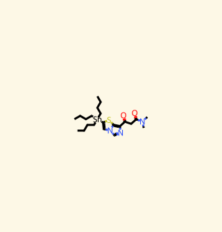 CCC[CH2][Sn]([CH2]CCC)([CH2]CCC)[c]1cn2cnc(C(=O)CC(=O)N(C)C)c2s1